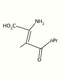 CCCC(=O)C(C)=C(N)C(=O)O